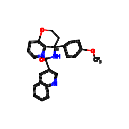 O=C(N[C@]1(c2ccc(OC(F)(F)F)cc2)CCOc2cccnc21)c1cnc2ccccc2c1